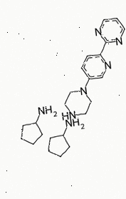 NC1CCCC1.NC1CCCC1.c1cnc(-c2ccc(N3CCNCC3)cn2)nc1